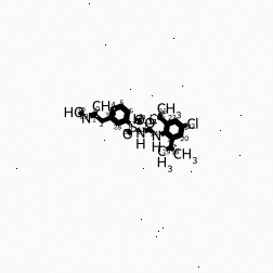 C/C(Cc1cccc(S(=O)(=O)NC(=O)Nc2c(C(C)C)cc(Cl)cc2C(C)C)c1)=N\O